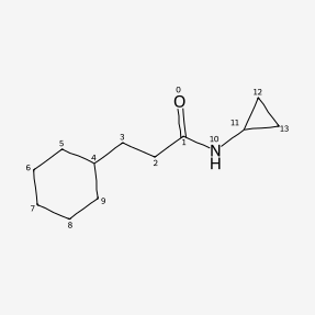 O=C(CCC1CCCCC1)NC1CC1